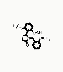 COc1ccccc1CN1C(=O)CSC1c1c(OC)cccc1OC